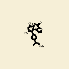 CNCC(C)c1ccc(-c2c(O)cc(Cl)c3[nH]c(=O)c4sccc4c23)cc1